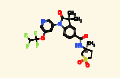 CC1(C)C(=O)N(c2cncc(OC(F)(F)C(F)F)c2)c2ccc(C(=O)N[C@@]3(C)CCS(=O)(=O)C3)cc21